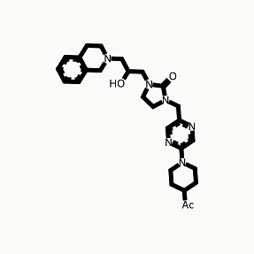 CC(=O)C1CCN(c2cnc(CN3CCN(CC(O)CN4CCc5ccccc5C4)C3=O)cn2)CC1